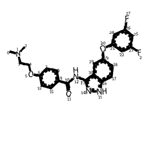 CN(C)CCOc1ccc(C(=O)Nc2n[nH]c3ccc(Oc4cc(F)cc(F)c4)cc23)cc1